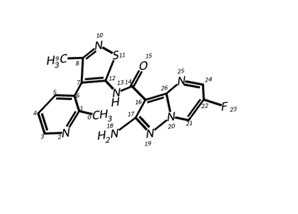 Cc1ncccc1-c1c(C)nsc1NC(=O)c1c(N)nn2cc(F)cnc12